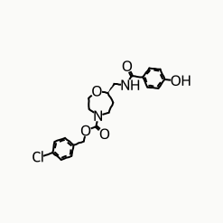 O=C(NC[C@H]1CCN(C(=O)OCc2ccc(Cl)cc2)CCO1)c1ccc(O)cc1